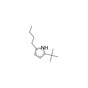 CCCCc1ccc(C(C)(C)C)[nH]1